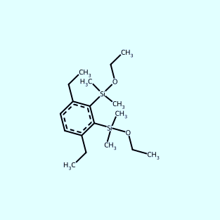 CCO[Si](C)(C)c1c(CC)ccc(CC)c1[Si](C)(C)OCC